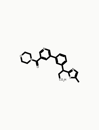 Cc1cnc(C(CC(=O)O)c2cccc(-c3cncc(C(=O)N4CCOCC4)c3)c2)s1